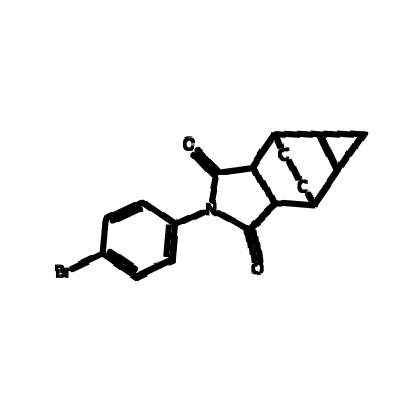 O=C1C2C3CCC(C4CC43)C2C(=O)N1c1ccc(Br)cc1